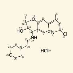 Cc1cc(Cl)nc2cc3c(cc12)OC(C)(C)C(O)C3NCCC1CCOCC1.Cl